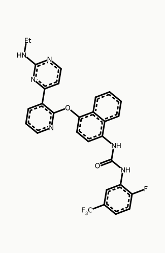 CCNc1nccc(-c2cccnc2Oc2ccc(NC(=O)Nc3cc(C(F)(F)F)ccc3F)c3ccccc23)n1